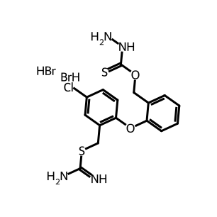 Br.Br.N=C(N)SCc1cc(Cl)ccc1Oc1ccccc1COC(=S)NN